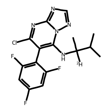 [2H]C(C)(Nc1c(-c2c(F)cc(F)cc2F)c(Cl)nc2ncnn12)C(C)C